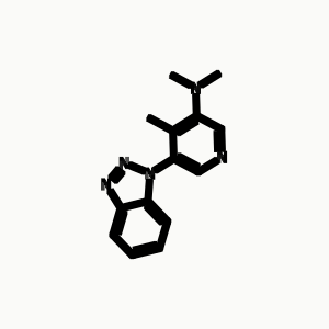 Cc1c(N(C)C)cncc1-n1nnc2ccccc21